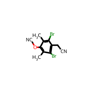 Cc1c(Br)c(CC#N)c(Br)c(C)c1OC#N